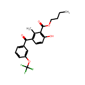 CCCCOC(=O)c1c(O)ccc(C(=O)c2cccc(OC(F)(F)F)c2)c1C